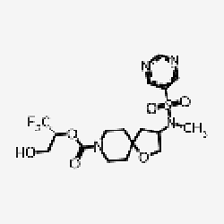 CN(C1COC2(CCN(C(=O)O[C@H](CO)C(F)(F)F)CC2)C1)S(=O)(=O)c1cncnc1